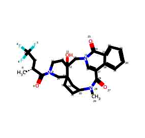 C[C@H](CC(F)(F)F)C(=O)N1CCC2(O)Cn3cc(c4ccccc4c3=O)C(=O)N(C)C3CCC2(C3)C1